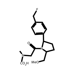 COCC1CCC(c2ccc(CF)cc2)N1C(=O)CN(C)C(=O)O